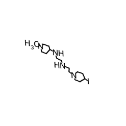 CN1CCC(NCCNCCN2CCC(I)CC2)CC1